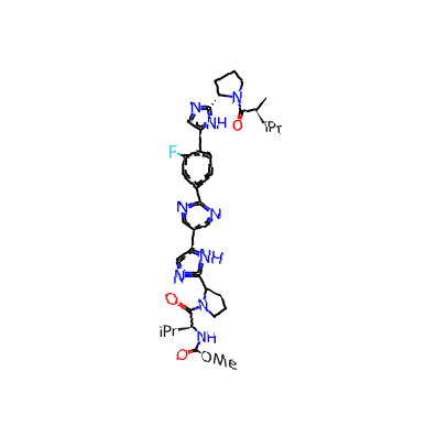 COC(=O)N[C@H](C(=O)N1CCCC1c1ncc(-c2cnc(-c3ccc(-c4cnc([C@@H]5CCCN5C(=O)[C@@H](C)C(C)C)[nH]4)c(F)c3)nc2)[nH]1)C(C)C